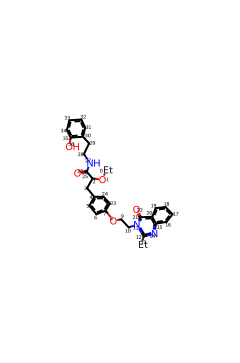 CCOC(Cc1ccc(OCCn2c(CC)nc3ccccc3c2=O)cc1)C(=O)NCCc1ccccc1O